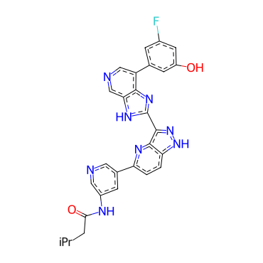 CC(C)CC(=O)Nc1cncc(-c2ccc3[nH]nc(-c4nc5c(-c6cc(O)cc(F)c6)cncc5[nH]4)c3n2)c1